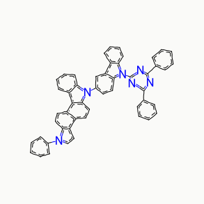 c1ccc(-c2nc(-c3ccccc3)nc(-n3c4ccccc4c4cc(-n5c6ccccc6c6c7ccc8c(ccn8-c8ccccc8)c7ccc65)ccc43)n2)cc1